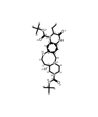 CCC1C(=O)Nc2cc3c(cc2N1C(=O)OC(C)(C)C)OCC[C@@H]1CN(C(=O)OC(C)(C)C)CCN1C3